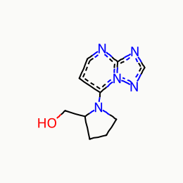 OCC1CCCN1c1ccnc2ncnn12